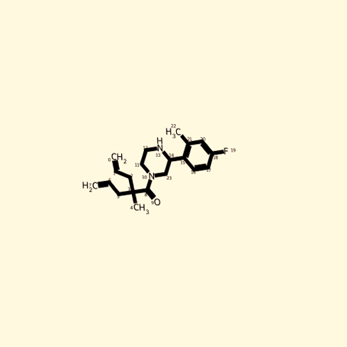 C=CCC(C)(CC=C)C(=O)N1CCNC(c2ccc(F)cc2C)C1